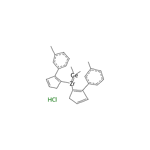 Cc1cccc(C2=[C]([Zr]([C]3=C(c4cccc(C)c4)C=CC3)=[Ge]([CH3])[CH3])CC=C2)c1.Cl